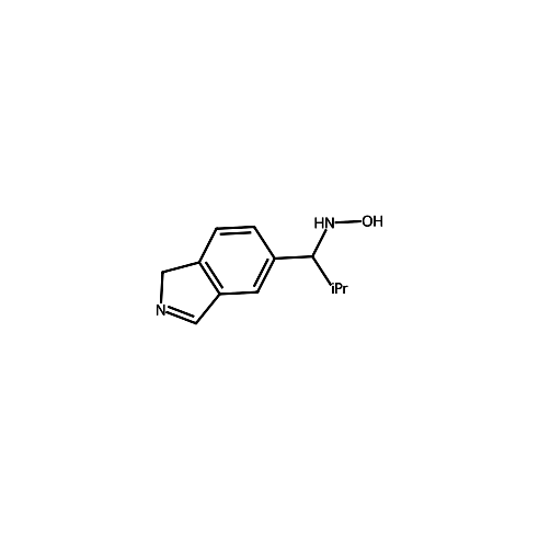 CC(C)C(NO)c1ccc2c(c1)C=NC2